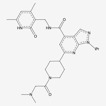 Cc1cc(C)c(CNC(=O)c2cc(C3CCN(C(=O)CN(C)C)CC3)nc3c2cnn3C(C)C)c(=O)[nH]1